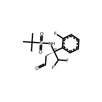 [CH2]C(C)(C)S(=O)(=O)N[C@@](CC=O)(c1ccccc1F)C(F)F